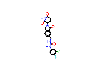 O=C1CCC(N2Cc3ccc(CNC(=O)Nc4ccc(F)c(Cl)c4)cc3C2=O)C(=O)N1